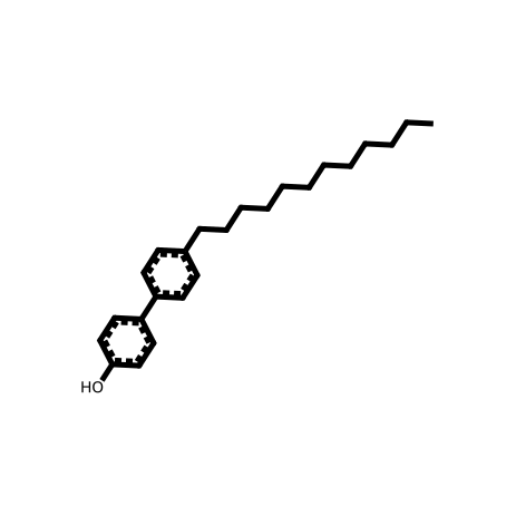 CCCCCCCCCCCCc1ccc(-c2ccc(O)cc2)cc1